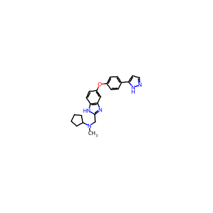 CN(Cc1nc2cc(Oc3ccc(-c4ccn[nH]4)cc3)ccc2[nH]1)C1CCCC1